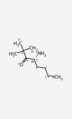 CSCC[C@@H](N)C(=O)C(C)(C)C